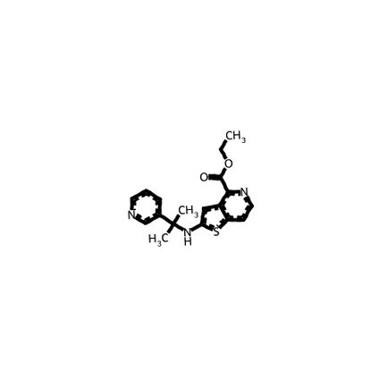 CCOC(=O)c1nccc2sc(NC(C)(C)c3cccnc3)cc12